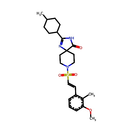 COc1cccc(/C=C/S(=O)(=O)N2CCC3(CC2)N=C(C2CCC(C)CC2)NC3=O)c1C